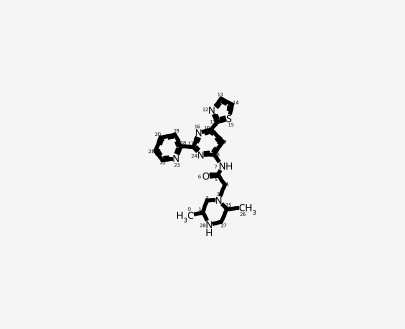 CC1CN(CC(=O)Nc2cc(-c3nccs3)nc(-c3ccccn3)n2)C(C)CN1